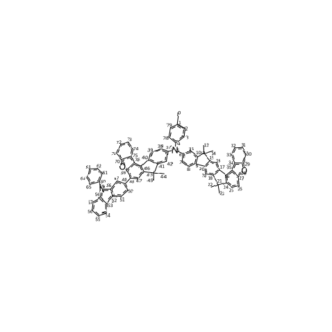 Cc1ccc(N(c2ccc3c(c2)C(C)(C)c2cc4c(cc2-3)C(C)(C)c2ccc3oc5ccccc5c3c2-4)c2ccc3c(c2)C(C)(C)c2cc(-c4ccc5c6ccccc6n(-c6ccccc6)c5c4)c4oc5ccccc5c4c2-3)cc1